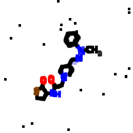 CN(/N=C/c1cc[n+](CC(=O)NC2CCSC2=O)cc1)c1ccccc1